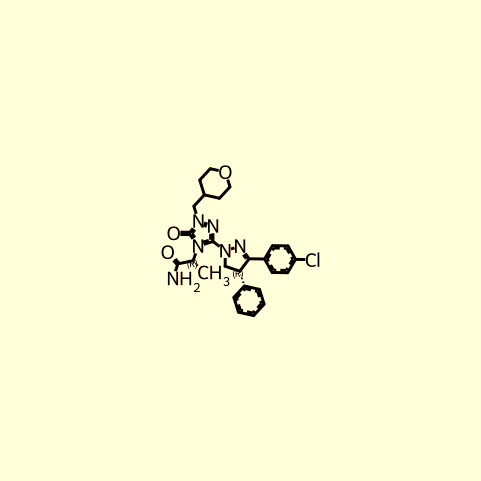 C[C@H](C(N)=O)n1c(N2C[C@@H](c3ccccc3)C(c3ccc(Cl)cc3)=N2)nn(CC2CCOCC2)c1=O